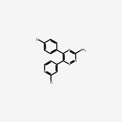 Nc1nnc(-c2ccnc(Cl)c2)c(-c2ccc(Cl)cc2)n1